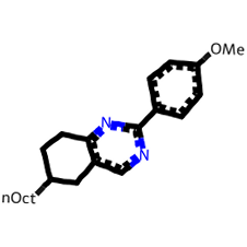 CCCCCCCCC1CCc2nc(-c3ccc(OC)cc3)ncc2C1